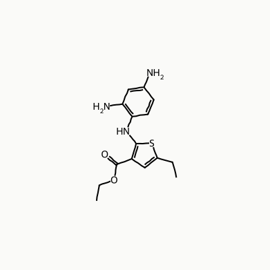 CCOC(=O)c1cc(CC)sc1Nc1ccc(N)cc1N